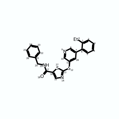 CCc1ccccc1-c1cncc(Sc2ncc(C(=O)NCc3ccccc3)s2)c1